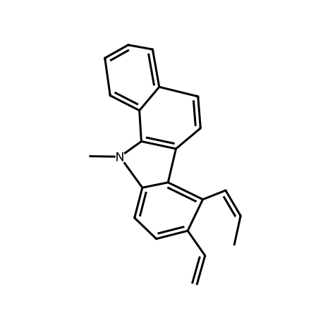 C=Cc1ccc2c(c1/C=C\C)c1ccc3ccccc3c1n2C